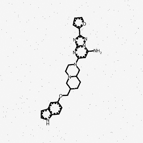 Nc1cc(N2CCN3CC(COc4ccc5[nH]ccc5c4)CCC3C2)nc2nc(-c3ccco3)nn12